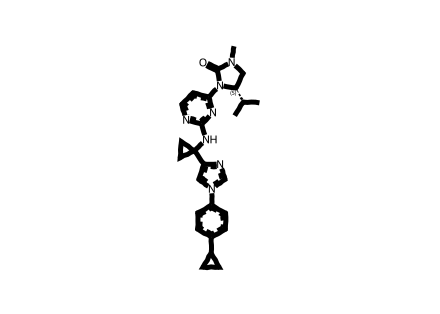 CC(C)[C@H]1CN(C)C(=O)N1c1ccnc(NC2(c3cn(-c4ccc(C5CC5)cc4)cn3)CC2)n1